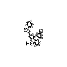 O=C(C=Cc1ccc(-c2ccccc2O)c(-c2cccc(Cl)c2)c1)c1ccccc1